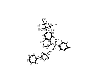 O=S(=O)(c1ccc(F)cc1)N1c2ccc(C(O)(C(F)(F)F)C(F)(F)F)cc2CC[C@H]1Cc1nnc(-c2ccncc2)o1